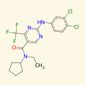 CCN(C(=O)c1cnc(Nc2ccc(Cl)c(Cl)c2)nc1C(F)(F)F)C1CCCC1